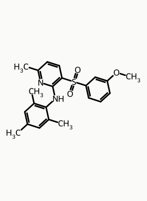 COc1cccc(S(=O)(=O)c2ccc(C)nc2Nc2c(C)cc(C)cc2C)c1